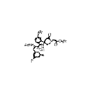 CC(=O)N[C@@H](Cc1cc(F)cc(F)c1)[C@H](O)CN[C@]1(c2cccc(C(C)C)c2)CCN(CC(=O)OC(C)C)C(=O)C1